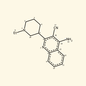 CCN1CCCC(c2nc3ccccc3c(N)c2C#N)C1